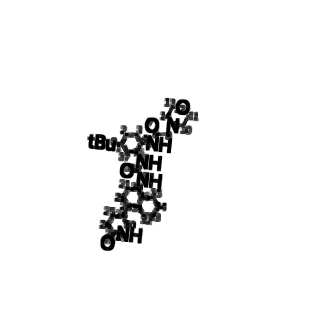 CC(C)(C)c1ccc(NC(=O)CN2CCOCC2)c(NC(=O)Nc2ccc(-c3ccc(=O)[nH]c3)c3ccccc23)c1